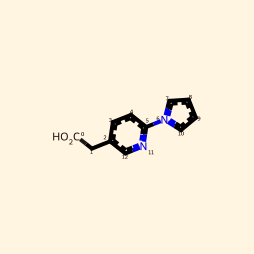 O=C(O)Cc1ccc(-n2cccc2)nc1